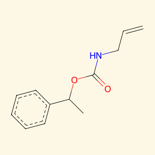 C=CCNC(=O)OC(C)c1ccccc1